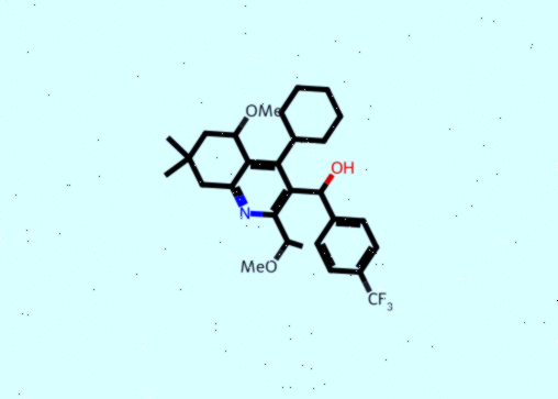 COC(C)c1nc2c(c(C3CCCCC3)c1C(O)c1ccc(C(F)(F)F)cc1)C(OC)CC(C)(C)C2